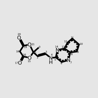 CC1(C=CNc2cnc3ccccc3n2)OC(=O)CC(=O)O1